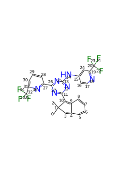 CC1(C)C=c2ccccc2=C1c1nc(Nc2ccnc(C(F)(F)F)c2)nc(-c2cccc(C(F)(F)F)n2)n1